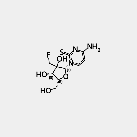 Nc1ccn([C@@H]2O[C@H](CO)[C@H](O)C2(O)CF)c(=S)n1